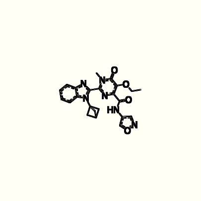 CCOc1c(C(=O)Nc2cnoc2)nc(-c2nc3ccccc3n2C23CC(C2)C3)n(C)c1=O